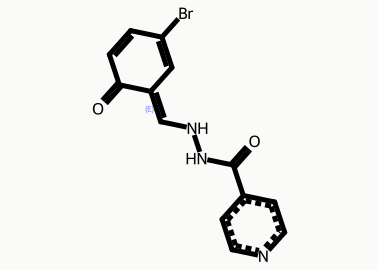 O=C1C=CC(Br)=C/C1=C\NNC(=O)c1ccncc1